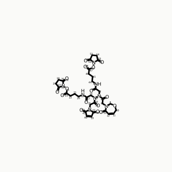 O=C(CN(C(=O)CN1COCC=CC1=O)N(CC(=O)NCCCC(=O)ON1C(=O)CCC1=O)C(=O)CN1C(=O)C=CC1=O)NCCCC(=O)ON1C(=O)CCC1=O